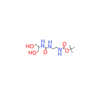 CC(C)(C)OC(=O)NCCNC(=O)NC(CO)CO